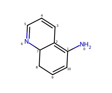 NC1=C2C=CC=NC2CC=C1